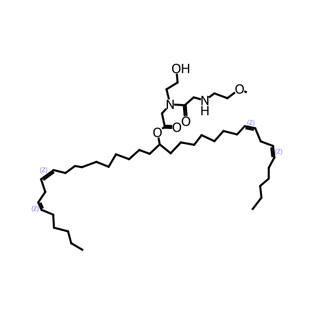 CCCCC/C=C\C/C=C\CCCCCCCCCC(CCCCCCC/C=C\C/C=C\CCCCC)OC(=O)CN(CCO)C(=O)CNCCOC